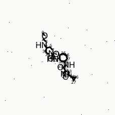 COCCNC1CCN(S(=O)(=O)N[C@H]2CC=CC[C@H](NC(=O)c3cc(C4CC4)on3)C2)CC1